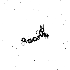 Clc1ccc(C2(Cn3ccnc3)OCC(COc3ccc(N4CCN(Cc5ccccc5Cl)CC4)cc3)O2)c(Cl)c1